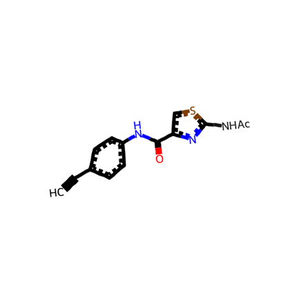 C#Cc1ccc(NC(=O)c2csc(NC(C)=O)n2)cc1